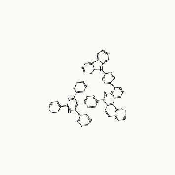 c1ccc(-c2nc(-c3ccccc3)c(-c3ccc(-c4nc5c(-c6ccc(-n7c8ccccc8c8ccccc87)cc6)cccc5c5c4ccc4ccccc45)cc3)c(-c3ccccc3)n2)cc1